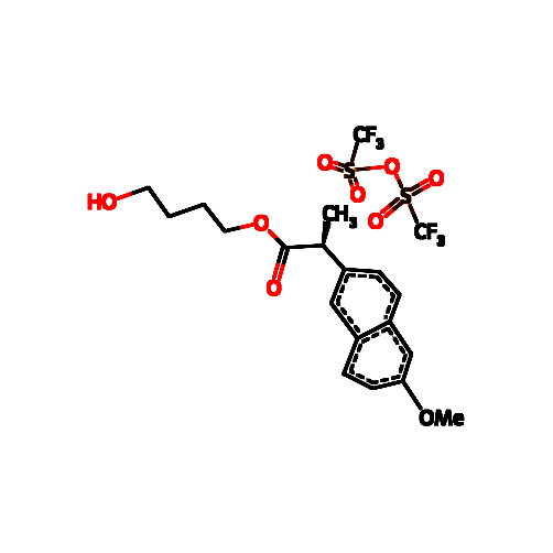 COc1ccc2cc([C@H](C)C(=O)OCCCCO)ccc2c1.O=S(=O)(OS(=O)(=O)C(F)(F)F)C(F)(F)F